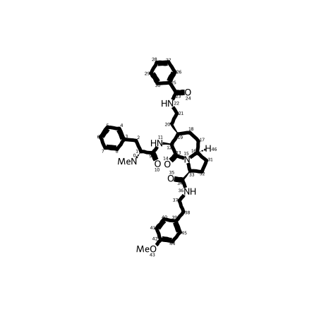 CN[C@H](Cc1ccccc1)C(=O)N[C@@H]1C(=O)N2[C@@H](CC[C@@H]1CCNC(=O)c1ccccc1)CC[C@H]2C(=O)NCCc1ccc(OC)cc1